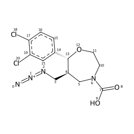 [N-]=[N+]=NC[C@@H]1CN(C(=O)O)CCO[C@H]1c1ccc(Cl)c(Cl)c1